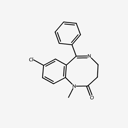 CN1C(=O)CC/N=C(/c2ccccc2)c2cc(Cl)ccc21